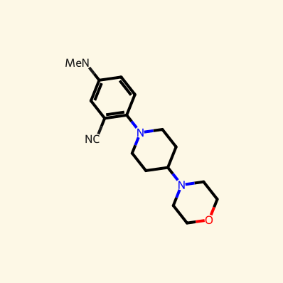 CNc1ccc(N2CCC(N3CCOCC3)CC2)c(C#N)c1